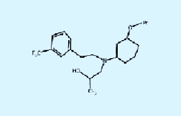 CC(C)OC1CCCC(N(CCc2cccc(C(F)(F)F)c2)CC(O)C(F)(F)F)C1